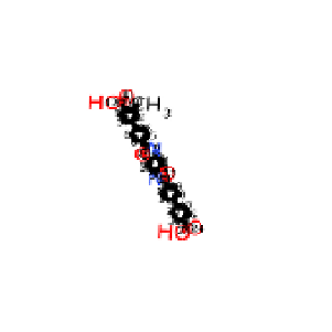 Cc1cc(-c2ccc(-c3nc4cc5oc(-c6ccc(-c7ccc(C(=O)O)cc7)cc6)nc5cc4o3)cc2)ccc1C(=O)O